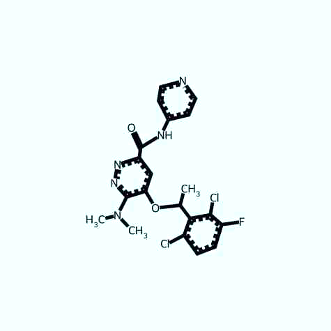 CC(Oc1cc(C(=O)Nc2ccncc2)nnc1N(C)C)c1c(Cl)ccc(F)c1Cl